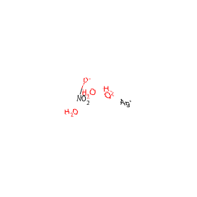 O.O.O.O=[N+]([O-])[O-].[Ag+]